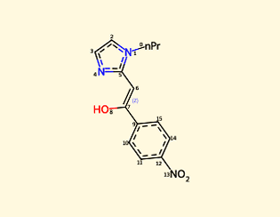 CCCn1ccnc1/C=C(\O)c1ccc([N+](=O)[O-])cc1